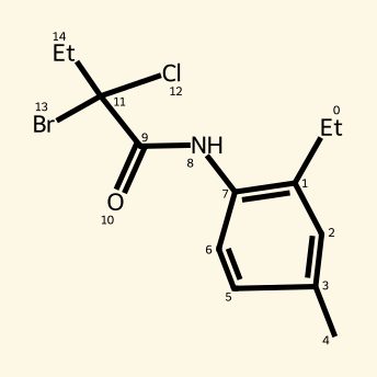 CCc1cc(C)ccc1NC(=O)C(Cl)(Br)CC